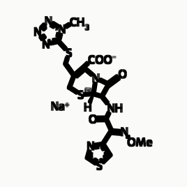 CON=C(C(=O)NC1C(=O)N2C(C(=O)[O-])=C(CSc3nnnn3C)CS[C@@H]12)c1cscn1.[Na+]